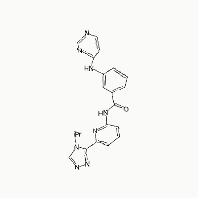 CC(C)n1cnnc1-c1cccc(NC(=O)c2cccc(Nc3ccncn3)c2)n1